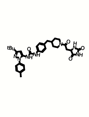 Cc1ccc(-n2nc(C(C)(C)C)cc2NC(=O)Nc2ccc(CC3CCN(C(=O)CC4NC(=O)NC4=O)CC3)cc2)cc1